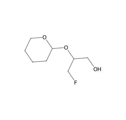 OCC(CF)OC1CCCCO1